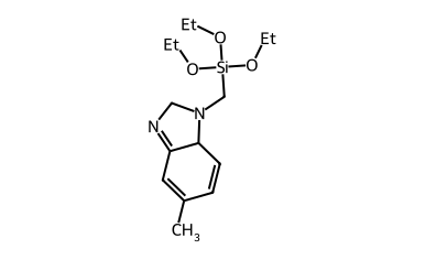 CCO[Si](CN1CN=C2C=C(C)C=CC21)(OCC)OCC